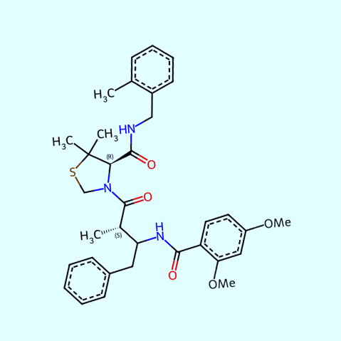 COc1ccc(C(=O)NC(Cc2ccccc2)[C@H](C)C(=O)N2CSC(C)(C)[C@H]2C(=O)NCc2ccccc2C)c(OC)c1